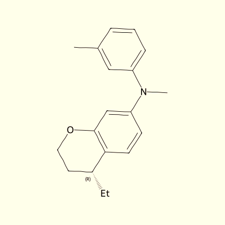 CC[C@@H]1CCOc2cc(N(C)c3cccc(C)c3)ccc21